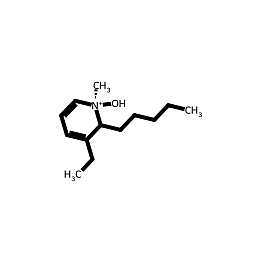 CCCCCC1C(CC)=CC=C[N@@+]1(C)O